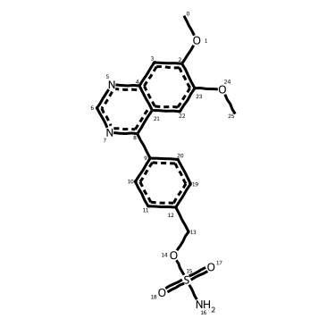 COc1cc2ncnc(-c3ccc(COS(N)(=O)=O)cc3)c2cc1OC